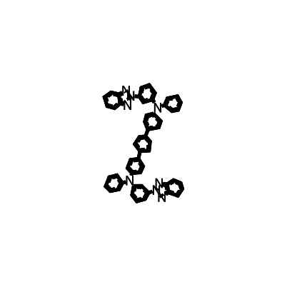 c1ccc(N(c2ccc(-c3ccc(-c4ccc(N(c5ccccc5)c5cccc(-n6nc7ccccc7n6)c5)cc4)cc3)cc2)c2cccc(-n3nc4ccccc4n3)c2)cc1